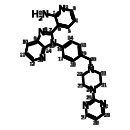 Nc1ncccc1-c1nc2cccnc2n1-c1ccc(CN2CCN(c3ncccn3)CC2)cc1